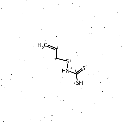 C=CCSNC(=S)S